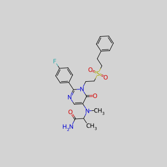 CC(C(N)=O)N(C)c1cnc(-c2ccc(F)cc2)n(CCS(=O)(=O)CCc2ccccc2)c1=O